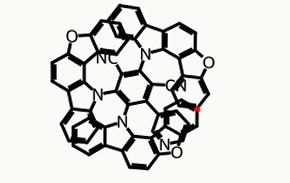 N#Cc1c(-c2cccnc2)c(-n2c3ccccc3c3ccc4oc5ccccc5c4c32)c(-n2c3ccccc3c3ccc4oc5ccccc5c4c32)c(C#N)c1-n1c2ccccc2c2ccc3oc4ccccc4c3c21